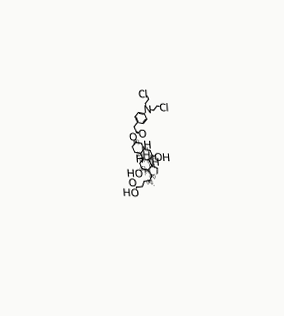 C[C@H](CCC(=O)O)[C@H]1CC[C@H]2[C@@H]3[C@H](O)C[C@@H]4C[C@H](OC(=O)Cc5ccc(N(CCCl)CCCl)cc5)CC[C@]4(C)[C@H]3C[C@H](O)[C@]12C